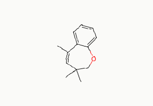 CC1=CC(C)(C)COc2ccccc21